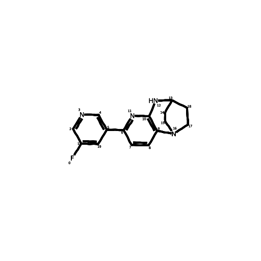 Fc1cncc(-c2ccc3c(n2)NC2CCN3CC2)c1